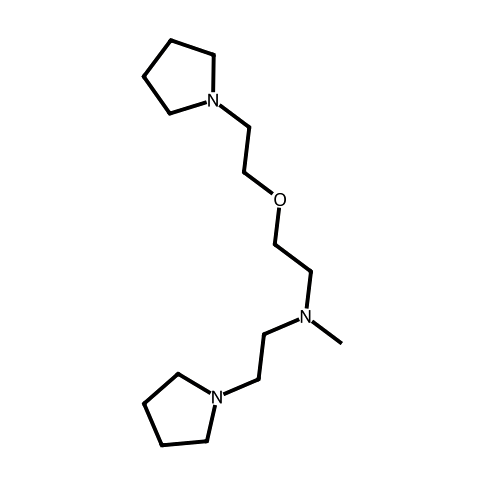 CN(CCOCCN1CCCC1)CCN1CCCC1